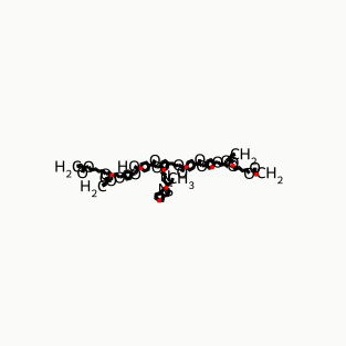 C=CC(=O)OCCCCOCC(COc1ccc(OC(=O)C2CCC(C(=O)OCCc3ccc(OC(=O)C4CCC(C(O)Oc5ccc(OCC(COCCCCOC(=O)C=C)OC(=O)C=C)cc5)CC4)c(/C=N/CC(CC)C4=Nc5ccccc5CS4)c3)CC2)cc1)OC(=O)C=C